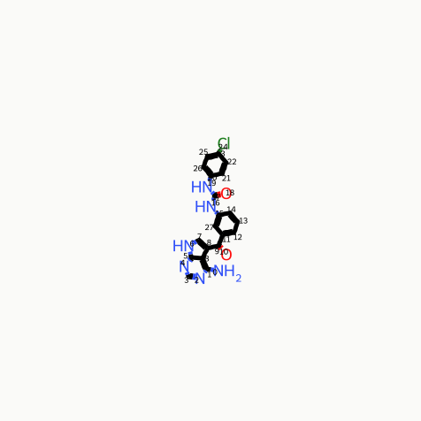 Nc1ncnc2[nH]cc(C(=O)c3cccc(NC(=O)Nc4ccc(Cl)cc4)c3)c12